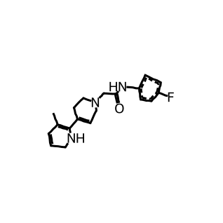 CC1=C(C2=CCN(CC(=O)Nc3ccc(F)cc3)CC2)NCC=C1